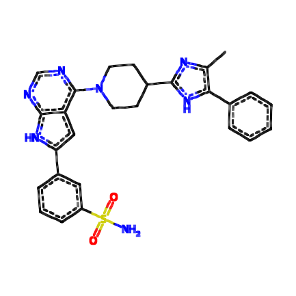 Cc1nc(C2CCN(c3ncnc4[nH]c(-c5cccc(S(N)(=O)=O)c5)cc34)CC2)[nH]c1-c1ccccc1